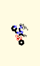 CC(C)c1nc(CN(C)C)n(Cc2cccnc2)c1S(=O)(=O)Oc1ccccc1